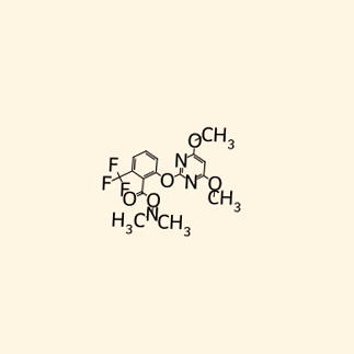 COc1cc(OC)nc(Oc2cccc(C(F)(F)F)c2C(=O)ON(C)C)n1